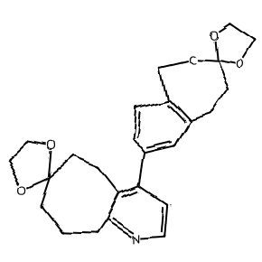 [c]1cnc2c(c1-c1ccc3c(c1)CCC1(CC3)OCCO1)CCC1(CCC2)OCCO1